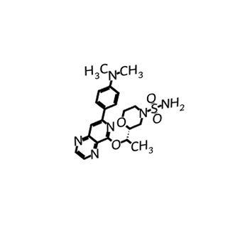 CC(Oc1nc(-c2ccc(N(C)C)cc2)cc2nccnc12)[C@H]1CN(S(N)(=O)=O)CCO1